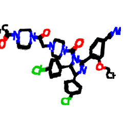 CCOc1cc(C#N)ccc1C1=N[C@@H](c2ccc(Cl)cc2)[C@@H](c2ccc(Cl)cc2)N1C(=O)N1CCN(CC(=O)N2CCN(C(C)=O)CC2)CC1